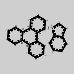 c1ccc2[nH]ccc2c1.c1ccc2c(c1)c1ccccc1c1ccccc21